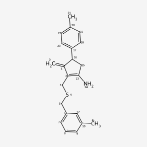 C=C1C(CSCc2cccc(C)c2)=C(N)CC1c1ccc(C)cc1